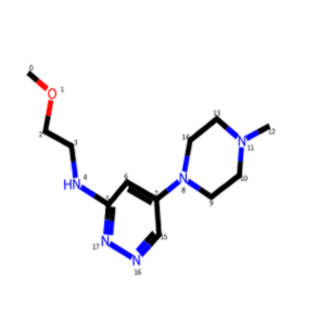 COCCNc1cc(N2CCN(C)CC2)cnn1